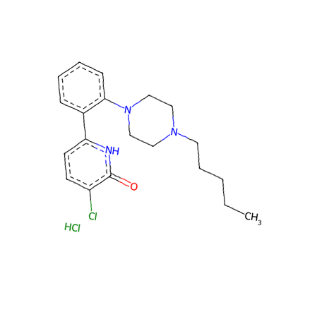 CCCCCN1CCN(c2ccccc2-c2ccc(Cl)c(=O)[nH]2)CC1.Cl